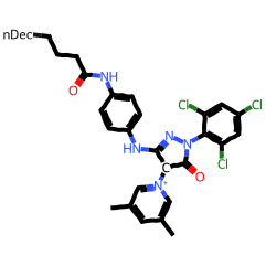 CCCCCCCCCCCCCC(=O)Nc1ccc(Nc2nn(-c3c(Cl)cc(Cl)cc3Cl)c(=O)[c-]2-[n+]2cc(C)cc(C)c2)cc1